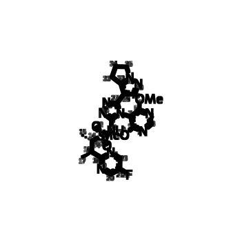 COc1ncnc(OC)c1-n1c(NS(=O)(=O)[C@@H](C)[C@H](C)c2ncc(F)cn2)nnc1-c1cnn2c1CCC2